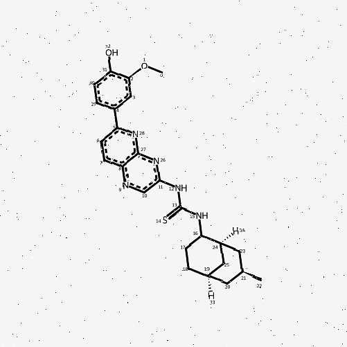 COc1cc(-c2ccc3ncc(NC(=S)NC4CC[C@@H]5C[C@H](C)C[C@H]4C5)nc3n2)ccc1O